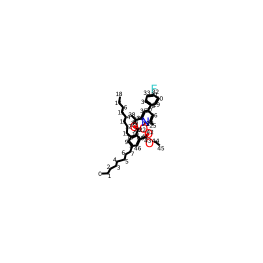 CCCCCCCCc1cc(CCCCCCCC)c(C(=O)ON2C(C)=CC(c3ccc(F)cc3)C=C2C(C)C)c(C(=O)OCC)c1